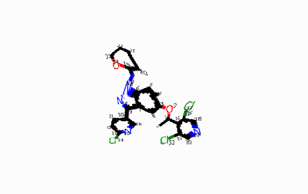 CC(Oc1ccc2c(c1)c(-c1ccc(Cl)nc1)nn2C1CCCCO1)c1c(Cl)cncc1Cl